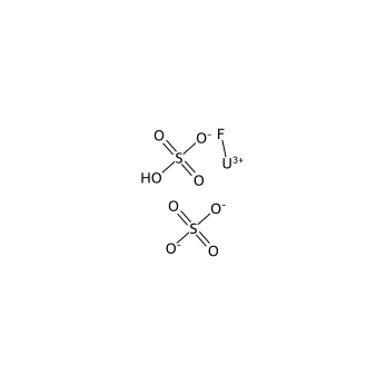 O=S(=O)([O-])O.O=S(=O)([O-])[O-].[F][U+3]